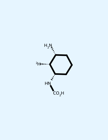 [2H][C@@H]1[C@H](N)CCC[C@@H]1NC(=O)O